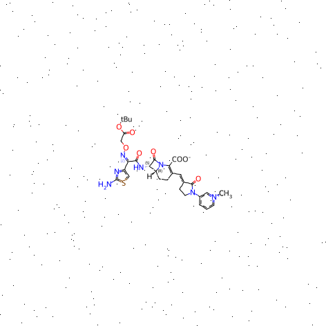 C[n+]1cccc(N2CCC(=CC3=C(C(=O)[O-])N4C(=O)[C@@H](NC(=O)/C(=N\OCC(=O)OC(C)(C)C)c5csc(N)n5)[C@H]4CC3)C2=O)c1